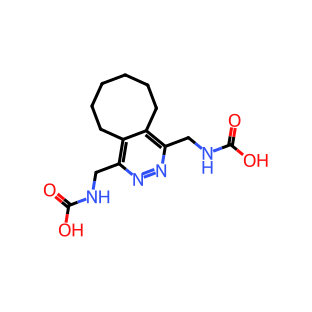 O=C(O)NCc1nnc(CNC(=O)O)c2c1CCCCCC2